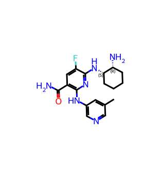 Cc1cncc(Nc2nc(N[C@H]3CCCC[C@H]3N)c(F)cc2C(N)=O)c1